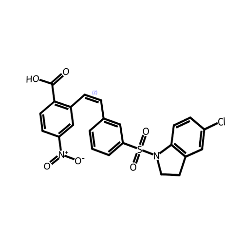 O=C(O)c1ccc([N+](=O)[O-])cc1/C=C\c1cccc(S(=O)(=O)N2CCc3cc(Cl)ccc32)c1